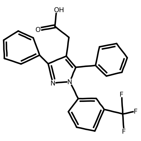 O=C(O)Cc1c(-c2ccccc2)nn(-c2cccc(C(F)(F)F)c2)c1-c1ccccc1